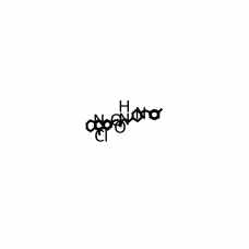 Cc1cccc(CN2CCC(CNC(=O)Oc3ccc4c(Cl)c5c(nc4c3)CCCC5)CC2)c1